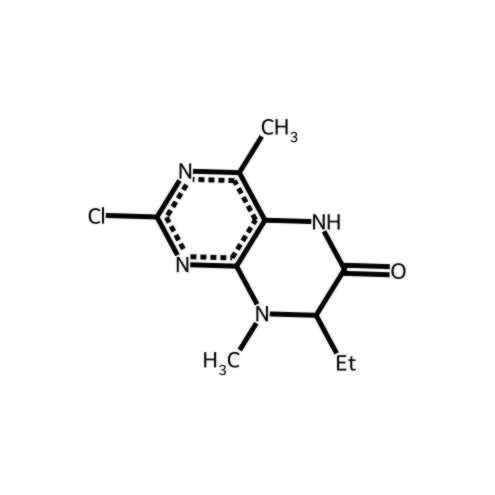 CCC1C(=O)Nc2c(C)nc(Cl)nc2N1C